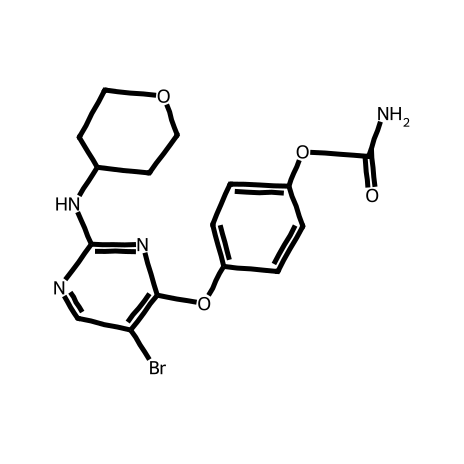 NC(=O)Oc1ccc(Oc2nc(NC3CCOCC3)ncc2Br)cc1